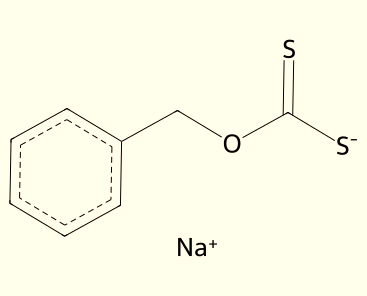 S=C([S-])OCc1ccccc1.[Na+]